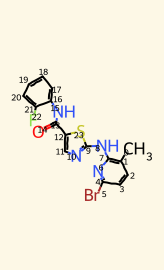 Cc1ccc(Br)nc1Nc1ncc(C(=O)Nc2ccccc2F)s1